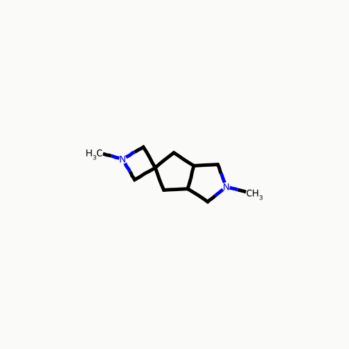 CN1CC2CC3(CC2C1)CN(C)C3